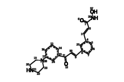 O=C(C=Cc1cccc(C=CC(=O)c2cccc(N3CCNCC3)c2)c1)NO